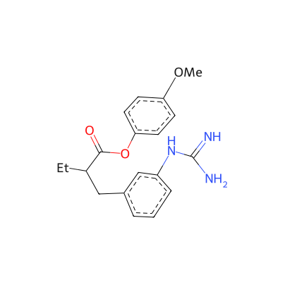 CCC(Cc1cccc(NC(=N)N)c1)C(=O)Oc1ccc(OC)cc1